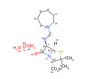 CC1(C)S[C@@H]2[C@H](N=CN3CCCCCC3)C(=O)N2[C@H]1C(=O)O.O.O.O